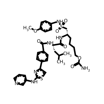 COc1ccc(NS(=O)(=O)C[C@H](CCCCOC(N)=O)NC(=O)[C@H](CC(C)C)NC(=O)c2ccc(-c3csc(Nc4cccnc4)n3)cc2)cc1